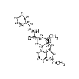 CCn1cc2c3c(cccc31)C1C[C@@H](C(=O)NCCc3ccccn3)CN(C)[C@@H]1C2